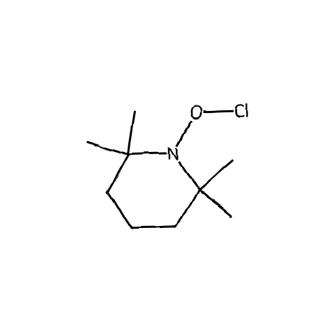 CC1(C)CCCC(C)(C)N1OCl